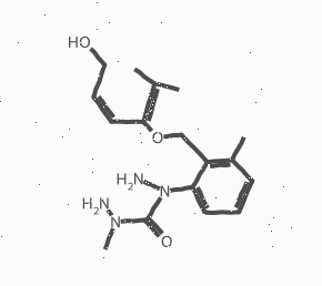 CC(C)=C(/C=C\CO)OCc1c(C)cccc1N(N)C(=O)N(C)N